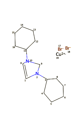 C1=CN(C2CCCCC2)CN1C1CCCCC1.[Br-].[Br-].[Cu+2]